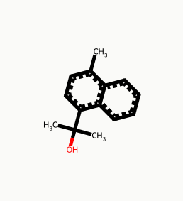 Cc1ccc(C(C)(C)O)c2ccccc12